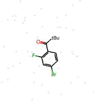 CC(C)(C)C(=O)c1ccc(Br)cc1F